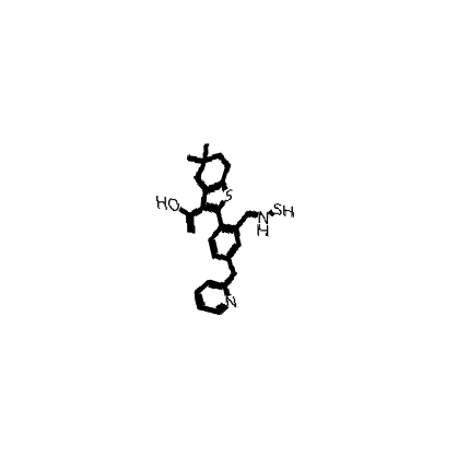 C=C(O)c1c(-c2ccc(Cc3ccccn3)cc2CNS)sc2c1CC(C)(C)CC2